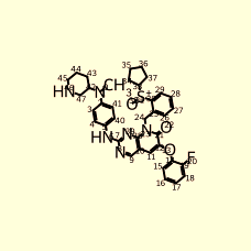 CN(c1ccc(Nc2ncc3cc(Oc4ccccc4F)c(=O)n(Cc4ccccc4[S+]([O-])C4CCCC4)c3n2)cc1)C1CCCNC1